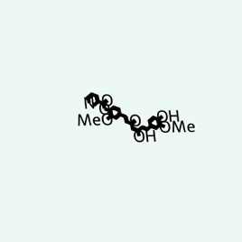 COc1cc(/C=C/C(O)=C\C(=O)/C=C/c2ccc(OC(=O)c3cccnc3)c(OC)c2)ccc1O